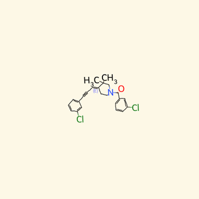 CC1(C)CN(C(=O)c2cccc(Cl)c2)CC/C1=C\C#Cc1cccc(Cl)c1